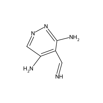 N=Cc1c(N)cnnc1N